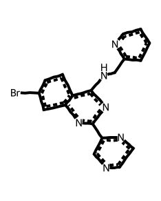 Brc1ccc2c(NCc3ccccn3)nc(-c3cnccn3)nc2c1